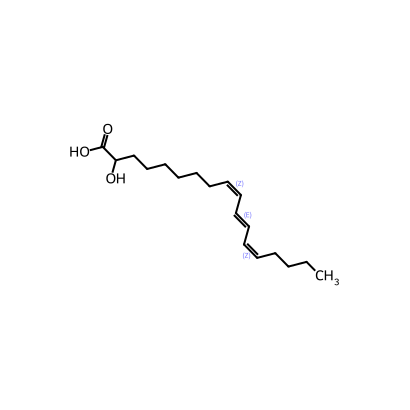 CCCC\C=C/C=C/C=C\CCCCCCC(O)C(=O)O